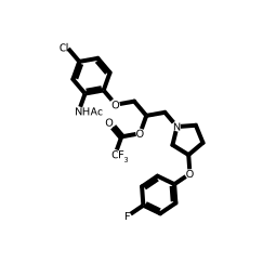 CC(=O)Nc1cc(Cl)ccc1OCC(CN1CCC(Oc2ccc(F)cc2)C1)OC(=O)C(F)(F)F